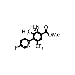 COC(=O)c1cc(C(F)(F)F)c(-c2ccc(F)cn2)c(C)c1N